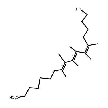 C/C(CCCCO)=C(C)/C(C)=C(C)/C(C)=C(\C)CCCCCCC(=O)O